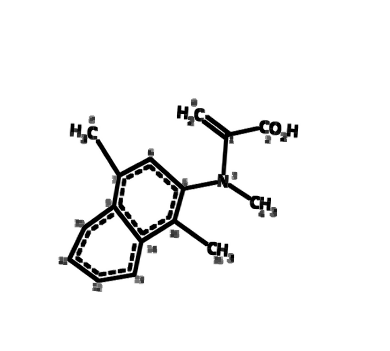 C=C(C(=O)O)N(C)c1cc(C)c2ccccc2c1C